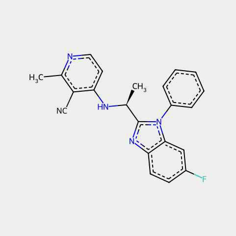 Cc1nccc(N[C@@H](C)c2nc3ccc(F)cc3n2-c2ccccc2)c1C#N